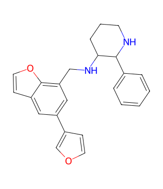 c1ccc(C2NCCCC2NCc2cc(-c3ccoc3)cc3ccoc23)cc1